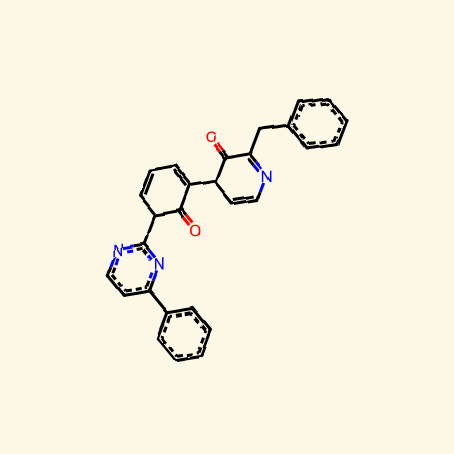 O=C1C(Cc2ccccc2)=NC=CC1C1=CC=CC(c2nccc(-c3ccccc3)n2)C1=O